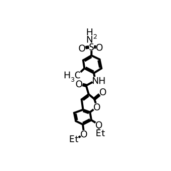 CCOc1ccc2cc(C(=O)Nc3ccc(S(N)(=O)=O)cc3C)c(=O)oc2c1OCC